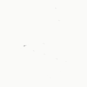 CC(C)C1COC(=O)N1c1ccnc(N[C@@H](C)c2ccc(Oc3cncnc3)cc2)n1